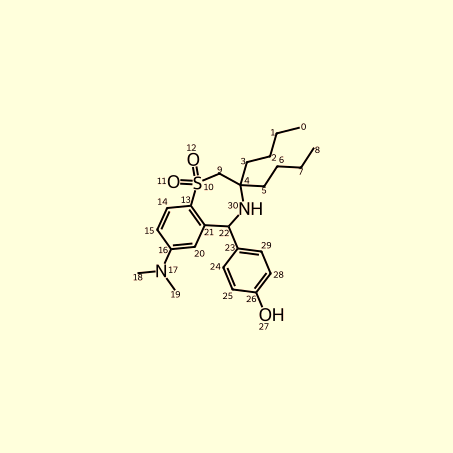 CCCCC1(CCCC)CS(=O)(=O)c2ccc(N(C)C)cc2C(c2ccc(O)cc2)N1